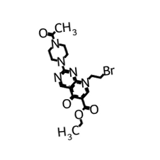 CCOC(=O)c1cn(CCBr)c2nc(N3CCN(C(C)=O)CC3)ncc2c1=O